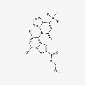 CCOC(=O)c1cc2c(-n3c(=O)cc(C(F)(F)F)n4ccnc34)c(F)cc(Cl)c2o1